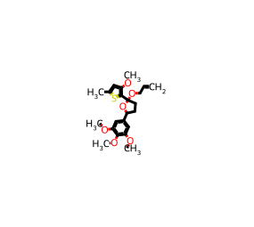 C=CCOC1(c2sc(C)cc2OC)CCC(c2cc(OC)c(OC)c(OC)c2)O1